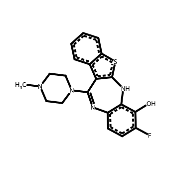 CN1CCN(C2=Nc3ccc(F)c(O)c3Nc3sc4ccccc4c32)CC1